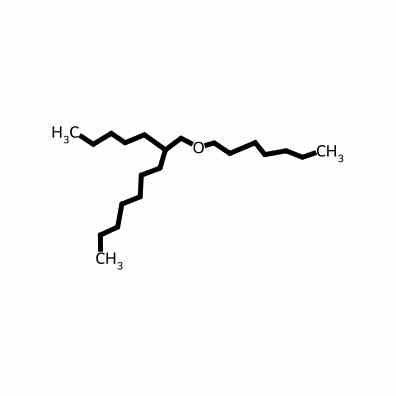 CCCCCCCOCC(CCCCC)CCCCCCC